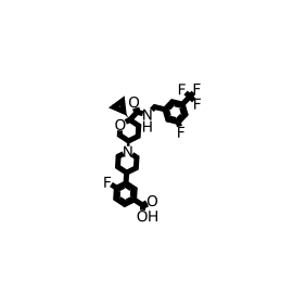 O=C(O)c1ccc(F)c(C2CCN([C@@H]3CC[C@@](C(=O)NCc4cc(F)cc(C(F)(F)F)c4)(C4CC4)OC3)CC2)c1